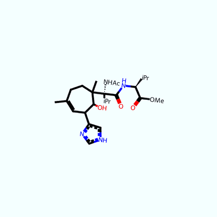 COC(=O)[C@@H](NC(=O)[C@@](NC(C)=O)(C(C)C)C1(C)CCC(C)=CC(c2c[nH]cn2)C1O)C(C)C